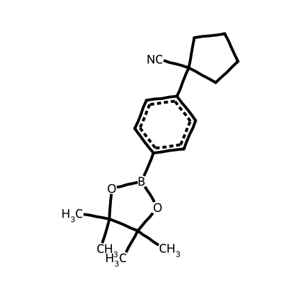 CC1(C)OB(c2ccc(C3(C#N)CCCC3)cc2)OC1(C)C